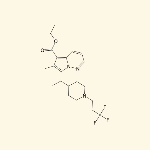 CCOC(=O)c1c(C)c(C(C)C2CCN(CCC(F)(F)F)CC2)n2ncccc12